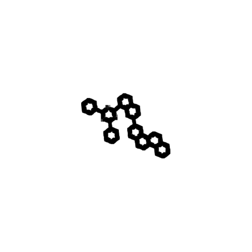 c1ccc(-c2nc(-c3ccccc3)nc(-c3cccc4ccc(-c5ccc6ccc7c8ccccc8ccc7c6c5)cc34)n2)cc1